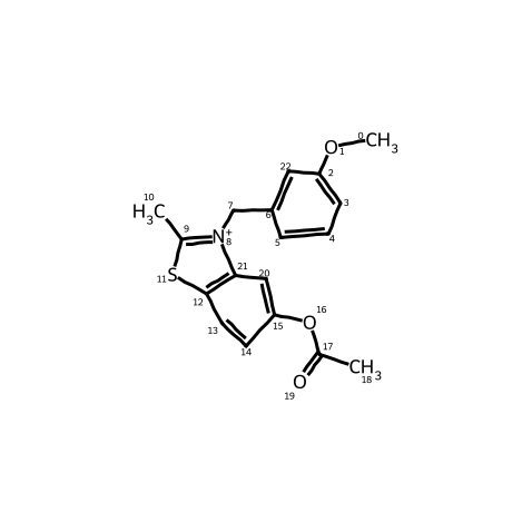 COc1cccc(C[n+]2c(C)sc3ccc(OC(C)=O)cc32)c1